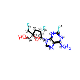 Nc1nc(F)nc2c1ncn2[C@@H]1O[C@@](CO)(CF)C[C@@H]1F